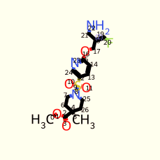 COC(=O)C1(C)CCN(S(=O)(=O)c2ccc(OC/C(=C\F)CN)nc2)CC1